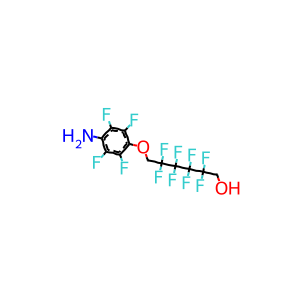 Nc1c(F)c(F)c(OCC(F)(F)C(F)(F)C(F)(F)C(F)(F)CO)c(F)c1F